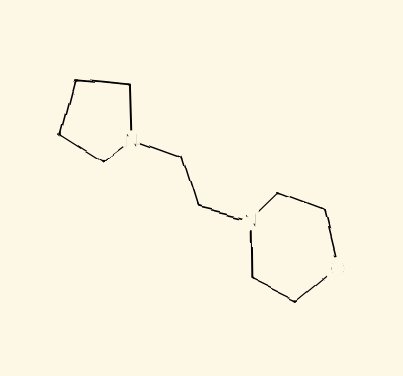 C1CCN(CCN2CCOCC2)C1